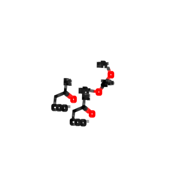 CCC(=O)CC(=O)[O-].CCC(=O)CC(=O)[O-].CCC[O][Zr+2][O]CCC